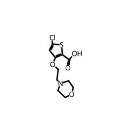 O=C(O)c1sc(Cl)cc1OCCN1CCOCC1